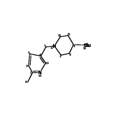 Cc1ccc(CN2CCC(C(C)(C)C)CC2)cn1